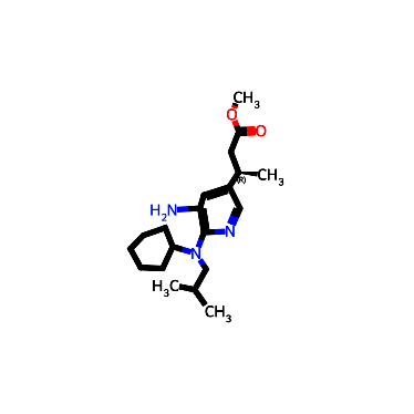 COC(=O)C[C@@H](C)c1cnc(N(CC(C)C)C2CCCCC2)c(N)c1